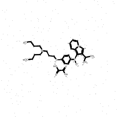 CCCCN(CCCC)CCCOc1ccc([S+]([O-])c2c(C(C)C)cn3ccccc23)cc1.O=C(O)C(=O)O